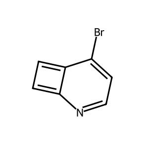 Brc1ccnc2c1=CC=2